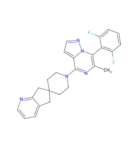 Cc1nc(N2CCC3(CC2)Cc2cccnc2C3)c2ccnn2c1-c1c(F)cccc1F